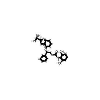 Cc1cccc(C)c1NC(=O)OCC(Oc1cccc2sc(C(=N)N)cc12)c1ccccc1